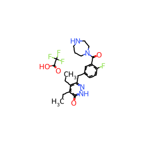 CCc1c(Cc2ccc(F)c(C(=O)N3CCCNCC3)c2)n[nH]c(=O)c1CC.O=C(O)C(F)(F)F